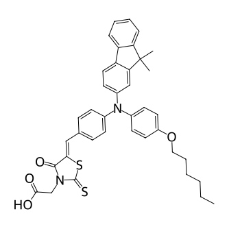 CCCCCCOc1ccc(N(c2ccc(/C=C3\SC(=S)N(CC(=O)O)C3=O)cc2)c2ccc3c(c2)C(C)(C)c2ccccc2-3)cc1